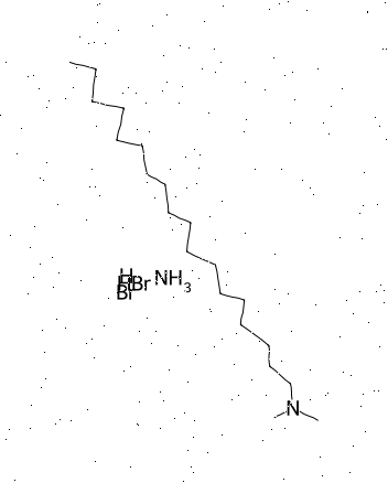 Br.Br.CCCCCCCCCCCCCCCCCCN(C)C.N